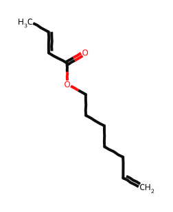 C=CCCCCCOC(=O)/C=C/C